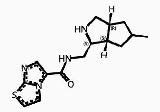 CC1C[C@H]2CN[C@H](CNC(=O)c3cnc4sccn34)[C@H]2C1